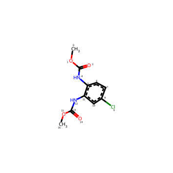 COC(=O)Nc1ccc(Cl)cc1NC(=O)OC